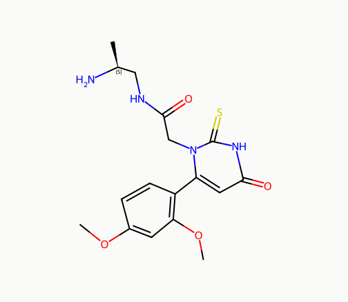 COc1ccc(-c2cc(=O)[nH]c(=S)n2CC(=O)NC[C@H](C)N)c(OC)c1